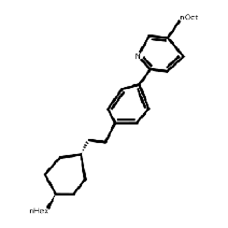 CCCCCCCCc1ccc(-c2ccc(CC[C@H]3CC[C@H](CCCCCC)CC3)cc2)nc1